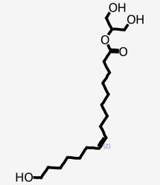 O=C(CCCCCCC/C=C\CCCCCCO)OC(CO)CO